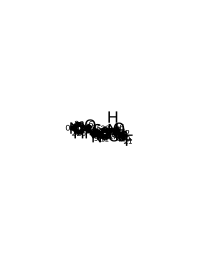 CN1CCC(C(=O)Nc2nc3ccc(NS(=O)(=O)N4CC(F)C4)cc3s2)CC1